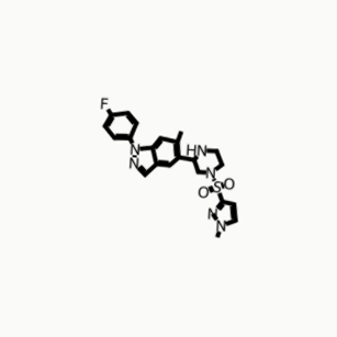 Cc1cc2c(cnn2-c2ccc(F)cc2)cc1C1CN(S(=O)(=O)c2ccn(C)n2)CCN1